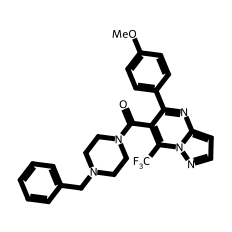 COc1ccc(-c2nc3ccnn3c(C(F)(F)F)c2C(=O)N2CCN(Cc3ccccc3)CC2)cc1